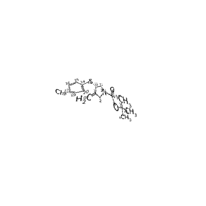 C=C1CN(C(=O)OC(C)(C)C)C[C@@H]1Sc1ccc(Cl)cc1